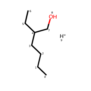 CCCCC(CC)CO.[H+]